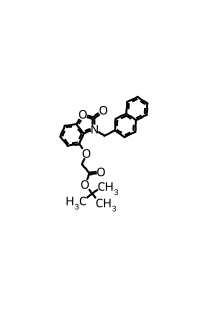 CC(C)(C)OC(=O)COc1cccc2oc(=O)n(Cc3ccc4ccccc4c3)c12